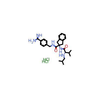 CC(C)CN[C@@H](C(=O)NC1(C(=O)NCc2ccc(C(=N)N)cc2)Cc2ccccc2C1)C(C)C.Cl.Cl